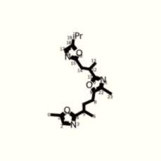 Cc1cnc(C(C)CCc2oc(C(C)Cc3ncc(C(C)C)o3)nc2C)o1